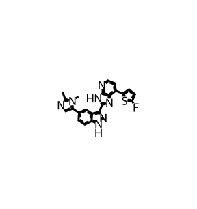 Cc1ncc(-c2ccc3[nH]nc(-c4nc5c(-c6ccc(F)s6)ccnc5[nH]4)c3c2)n1C